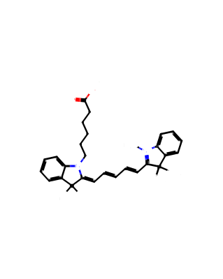 C[N+]1=C(C=C/C=C/C=C2\N(CCCCCC(=O)O)c3ccccc3C2(C)C)C(C)(C)c2ccccc21.[Br-]